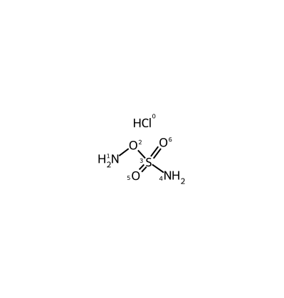 Cl.NOS(N)(=O)=O